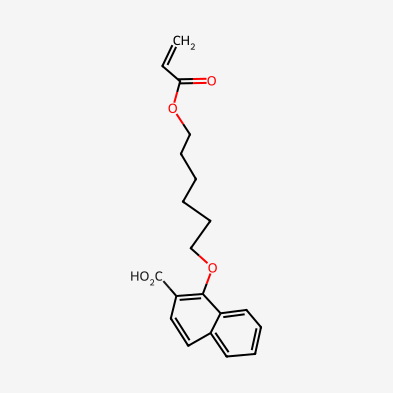 C=CC(=O)OCCCCCCOc1c(C(=O)O)ccc2ccccc12